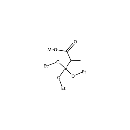 CCO[Si](OCC)(OCC)C(C)C(=O)OC